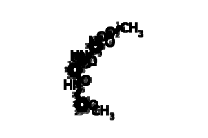 CCCOC(=O)Oc1ccc(C(=O)NS(=O)(=O)c2cccc(C(=O)NCCc3cccc(OC)c3)c2)cn1